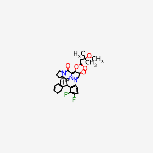 COC(C)(C)CC(=O)Oc1c2n(ncc1=O)[C@@H](C(c1ccccc1)c1cccc(F)c1F)[C@H]1CCCN1C2=O